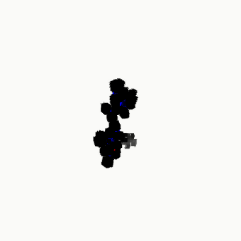 C=C/C=c1\c(=C/C)c2c3c(cc4c5cc(-c6ccc7c(c6)c6cc(-c8nc(-n9c%10c%11ccccc%11ccc%10c%10cc%11c%12ccccc%12n%12c%13ccccc%13c(c%109)c%11%12)nc9ccccc89)ccc6n7-c6ccccc6)ccc5n1c42)c1ccc2ccccc2c1n3-c1nc(-c2cccc3c2c2ccccc2n3-c2ccccc2)c2ccccc2n1